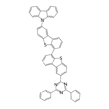 c1ccc(-c2nc(-c3ccccc3)nc(-c3ccc4sc5c(-c6cccc7c6sc6ccc(-n8c9ccccc9c9ccccc98)cc67)cccc5c4c3)n2)cc1